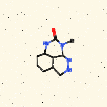 CCN1C(=O)NC2CCCC3CNNC1C32